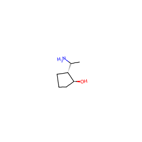 CC(N)[C@H]1CCC[C@@H]1O